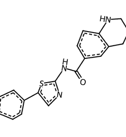 O=C(Nc1ncc(-c2ccccc2)s1)c1ccc2c(c1)CCCN2